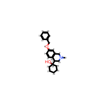 CN1Cc2cc(OCc3ccccc3)ccc2C(C2(O)CCCCC2)C1